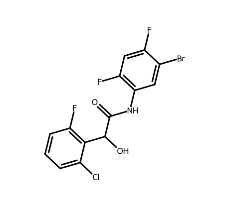 O=C(Nc1cc(Br)c(F)cc1F)C(O)c1c(F)cccc1Cl